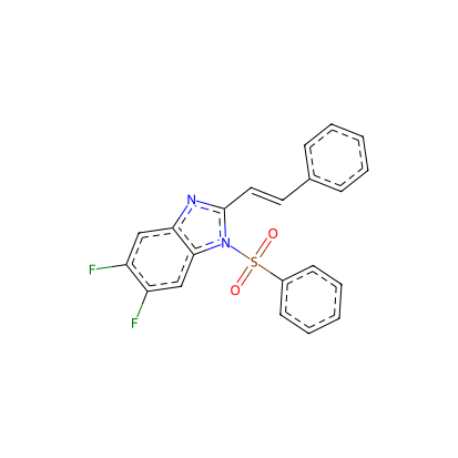 O=S(=O)(c1ccccc1)n1c(/C=C/c2ccccc2)nc2cc(F)c(F)cc21